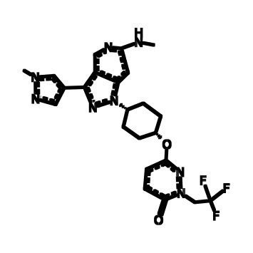 CNc1cc2c(cn1)c(-c1cnn(C)c1)nn2[C@H]1CC[C@@H](Oc2ccc(=O)n(CC(F)(F)F)n2)CC1